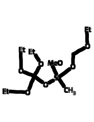 CCOCO[Si](C)(OC)OC(OCC)(OCC)OCC